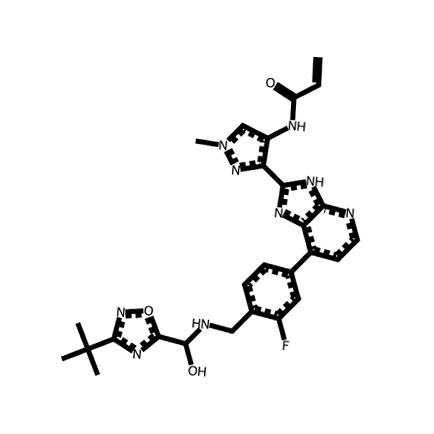 C=CC(=O)Nc1cn(C)nc1-c1nc2c(-c3ccc(CNC(O)c4nc(C(C)(C)C)no4)c(F)c3)ccnc2[nH]1